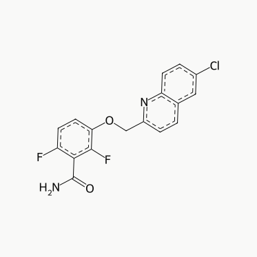 NC(=O)c1c(F)ccc(OCc2ccc3cc(Cl)ccc3n2)c1F